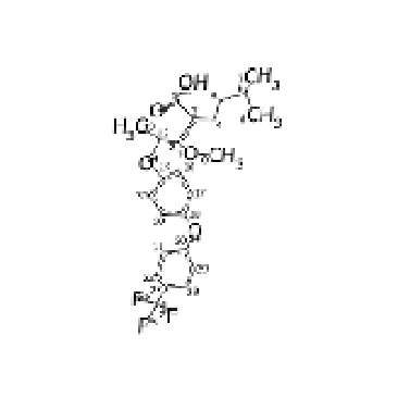 COC(=C(CCC(C)C)C(=O)O)C(C)Oc1ccc(Oc2ccc(C(F)(F)F)cc2)cc1